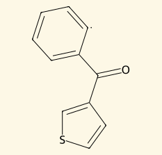 O=C(c1[c]cccc1)c1ccsc1